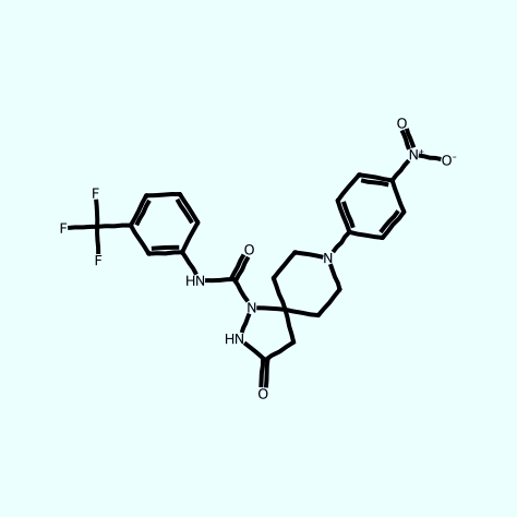 O=C1CC2(CCN(c3ccc([N+](=O)[O-])cc3)CC2)N(C(=O)Nc2cccc(C(F)(F)F)c2)N1